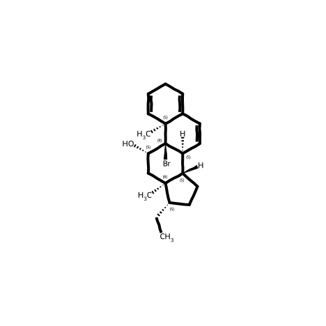 CC[C@H]1CC[C@H]2[C@@H]3C=CC4=CCC=C[C@]4(C)[C@@]3(Br)[C@@H](O)C[C@]12C